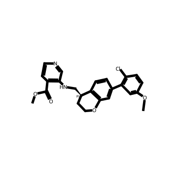 COC(=O)c1ccncc1NC[C@@H]1CCOc2cc(-c3cc(OC)ccc3Cl)ccc21